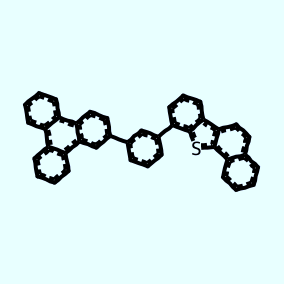 c1cc(-c2ccc3c4ccccc4c4ccccc4c3c2)cc(-c2cccc3c2sc2c4ccccc4ccc32)c1